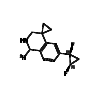 [2H]C1NCC2(CC2)c2cc([C@]3(F)C[C@H]3F)ccc21